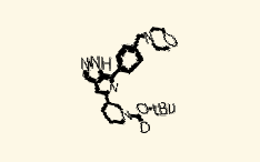 CC(C)(C)OC(=O)N1CCCC(c2cc3cn[nH]c3c(-c3ccc(CN4CCOCC4)cc3)n2)C1